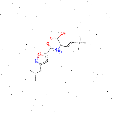 CC(C)Cc1cc(C(=O)NC(/C=C/C(C)(C)C)C(=O)O)on1